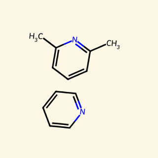 Cc1cccc(C)n1.c1ccncc1